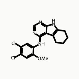 COc1cc(Cl)c(Cl)cc1Nc1ncnc2[nH]c3c(c12)CCCC3